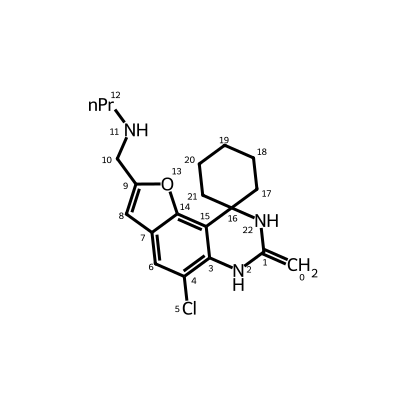 C=C1Nc2c(Cl)cc3cc(CNCCC)oc3c2C2(CCCCC2)N1